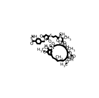 COc1cc2cc(c1Cl)N(C)C(=O)C[C@@H](OC(=O)[C@@H](C)N(C)C(=O)CCSC1CC(=O)N(CC3CCC(C(=O)SN)CC3)C1=O)[C@H]1O[C@@H]1[C@@H](C)[C@H]1C[C@](O)(NC(=O)O1)[C@@H](OC)/C=C/C=C(\C)C2